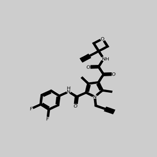 C#CCn1c(C)c(C(=O)C(=O)NC2(C#C)COC2)c(C)c1C(=O)Nc1ccc(F)c(F)c1